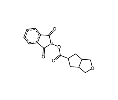 O=C(ON1C(=O)c2ccccc2C1=O)C1CC2COCC2C1